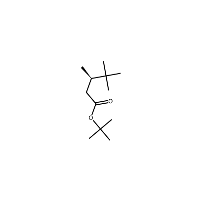 C[C@H](CC(=O)OC(C)(C)C)C(C)(C)C